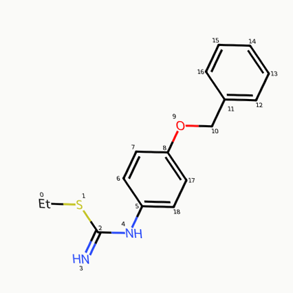 CCSC(=N)Nc1ccc(OCc2ccccc2)cc1